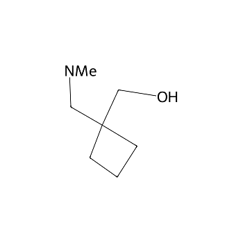 CNCC1(CO)CCC1